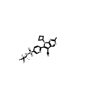 Cc1ncc2c(C#N)c(-c3ccc(S(=O)(=O)N[C@H](C)C(F)(F)F)cn3)n(C3CCC3)c2n1